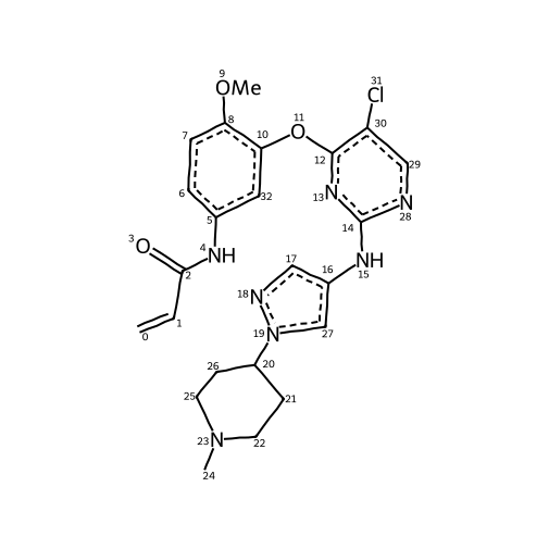 C=CC(=O)Nc1ccc(OC)c(Oc2nc(Nc3cnn(C4CCN(C)CC4)c3)ncc2Cl)c1